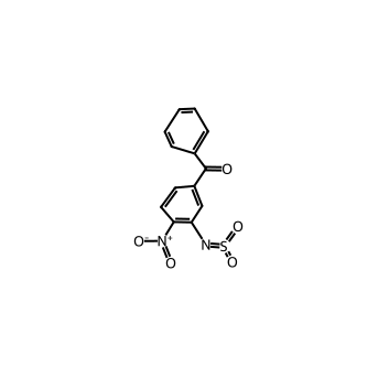 O=C(c1ccccc1)c1ccc([N+](=O)[O-])c(N=S(=O)=O)c1